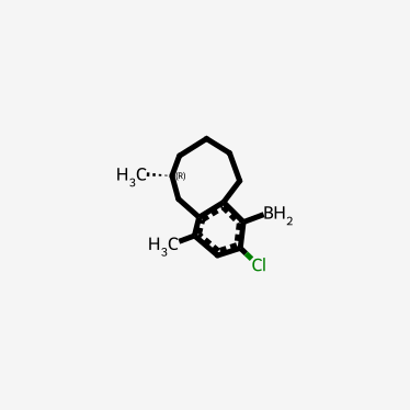 Bc1c(Cl)cc(C)c2c1CCCC[C@@H](C)C2